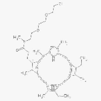 C=Cc1c(C)c2cc3nc(c(C)c4cc(C)c(cc5nc(cc1[nH]2)C(C)=C5CC)[nH]4)[C@@H](CCC(=O)N(C)CCOCCOCCCl)C3C